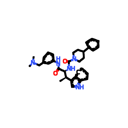 C[C@H](c1c[nH]c2ccccc12)[C@@H](NC(=O)N1CCC(c2ccccc2)CC1)C(=O)Nc1cccc(CN(C)C)c1